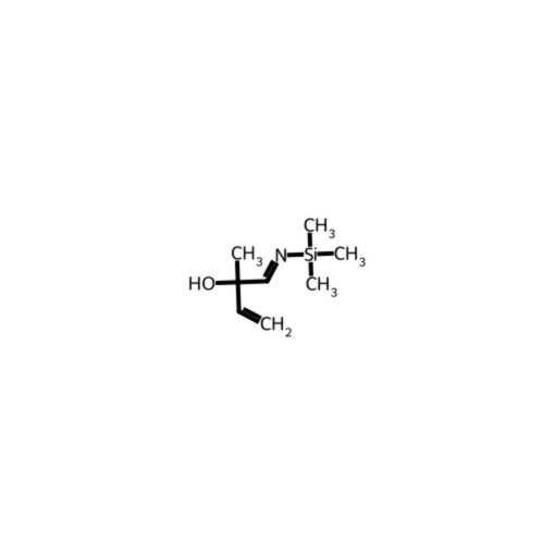 C=CC(C)(O)C=N[Si](C)(C)C